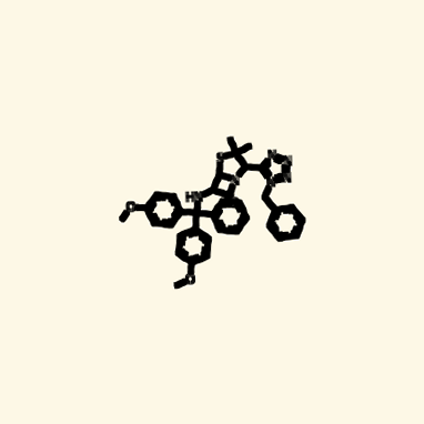 COc1ccc(C(NC2C(=O)N3C2SC(C)(C)C3c2nnnn2Cc2ccccc2)(c2ccccc2)c2ccc(OC)cc2)cc1